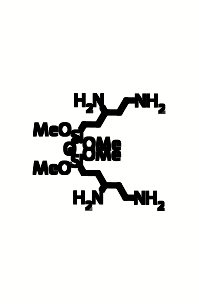 CO[Si](CCC(N)CCN)(OC)O[Si](CCC(N)CCN)(OC)OC